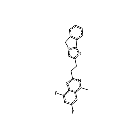 Cc1nc(CCc2cn3c(n2)-c2ccccc2C3)nc2c(F)cc(F)cc12